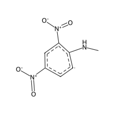 CNc1[c]cc([N+](=O)[O-])cc1[N+](=O)[O-]